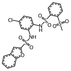 CS(=O)(=O)c1ccccc1S(=O)(=O)Nc1ccc(Cl)cc1NS(=O)(=O)c1cc2ccccc2o1